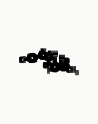 CCS(=O)(=O)Nc1ccc(F)c(C(=O)c2c[nH]c3ncc(-c4ccc(Cl)cc4)cc23)c1F